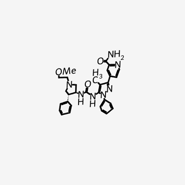 COCCN1C[C@@H](NC(=O)Nc2c(C)c(-c3ccnc(C(N)=O)c3)nn2-c2ccccc2)[C@H](c2ccccc2)C1